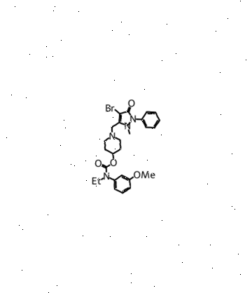 CCN(C(=O)OC1CCN(Cc2c(Br)c(=O)n(-c3ccccc3)n2C)CC1)c1cccc(OC)c1